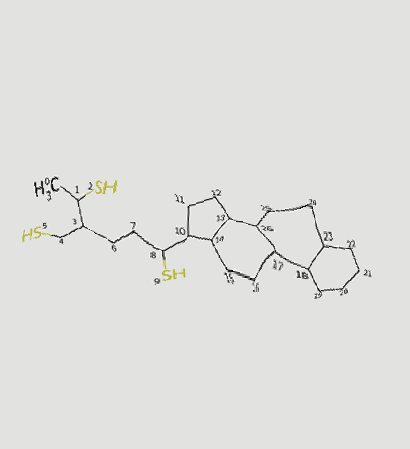 CC(S)C(CS)CCC(S)C1CCC2C1CCC1C3CCCCC3CCC12